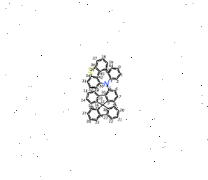 c1ccc(N(c2cccc3c2-c2ccccc2C32c3ccccc3-c3ccccc32)c2cccc3sc4ccccc4c23)cc1